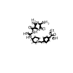 CCOP(=O)(O)c1ccc(CN2CCC(NC(=N)NC(=O)c3nc(Cl)c(N)nc3N)CC2)cc1